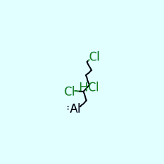 Cl.[Al][CH2]C(Cl)CCCCCl